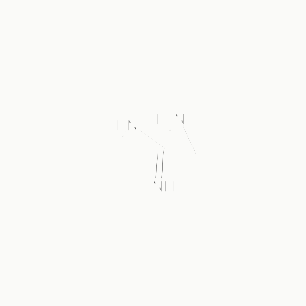 CN.N=CN